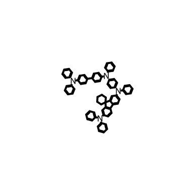 c1ccc(N(c2ccccc2)c2ccc(-c3ccc(N(c4ccccc4)c4ccc(N(c5ccccc5)c5ccc6c(c5)C5(CCCCC5)c5cc(N(c7ccccc7)c7ccccc7)ccc5-6)cc4)cc3)cc2)cc1